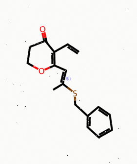 C=CC1=C(/C=C(\C)SCc2ccccc2)OCCC1=O